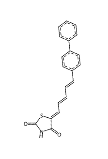 O=C1NC(=O)C(=CC=CC=Cc2ccc(-c3ccccc3)cc2)S1